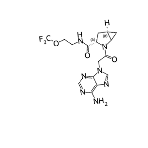 Nc1ncnc2c1ncn2CC(=O)N1C2C[C@@H]2C[C@H]1C(=O)NCCOC(F)(F)F